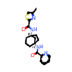 Cc1csc(C(=O)N[C@]23CCC[C@](NC(=O)c4ccccn4)(CC2)C3)n1